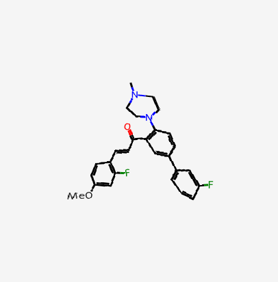 COc1ccc(/C=C/C(=O)c2cc(-c3cccc(F)c3)ccc2N2CCN(C)CC2)c(F)c1